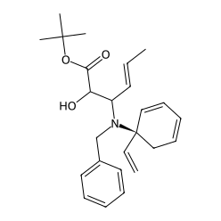 C=C[C@]1(N(Cc2ccccc2)C(C=CC)C(O)C(=O)OC(C)(C)C)C=CC=CC1